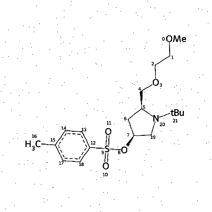 COCCOC[C@@H]1C[C@H](OS(=O)(=O)c2ccc(C)cc2)CN1C(C)(C)C